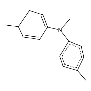 Cc1ccc(N(C)C2=CCC(C)C=C2)cc1